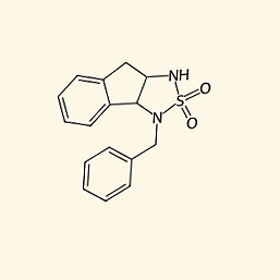 O=S1(=O)NC2Cc3ccccc3C2N1Cc1ccccc1